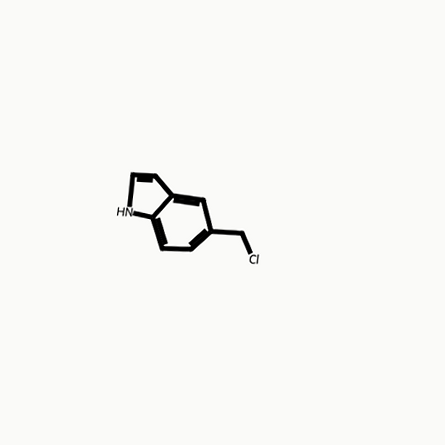 ClCc1ccc2[nH]ccc2c1